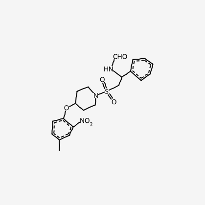 Cc1ccc(OC2CCN(S(=O)(=O)CC(NC=O)c3ccccc3)CC2)c([N+](=O)[O-])c1